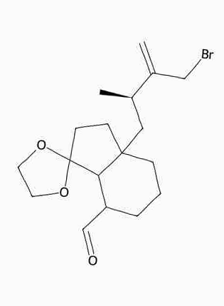 C=C(CBr)[C@H](C)CC12CCCC(C=O)C1C1(CC2)OCCO1